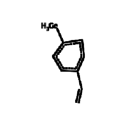 C=Cc1cc[c]([GeH3])cc1